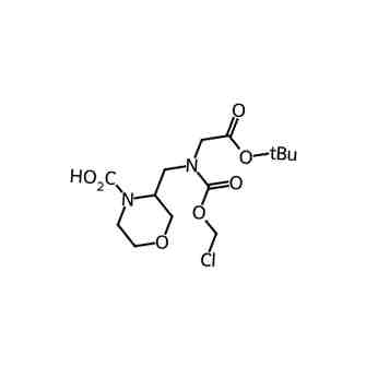 CC(C)(C)OC(=O)CN(CC1COCCN1C(=O)O)C(=O)OCCl